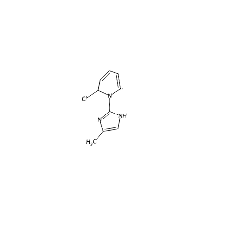 Cc1c[nH]c(N2[C]=CC=CC2Cl)n1